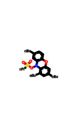 CCCCc1cc(CCCC)c2c(c1)Oc1ccc(CCCC)cc1N2OS(=O)(=O)CCC